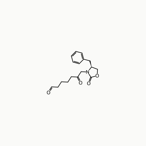 O=CCCCCC(=O)CN1C(=O)OC[C@@H]1Cc1ccccc1